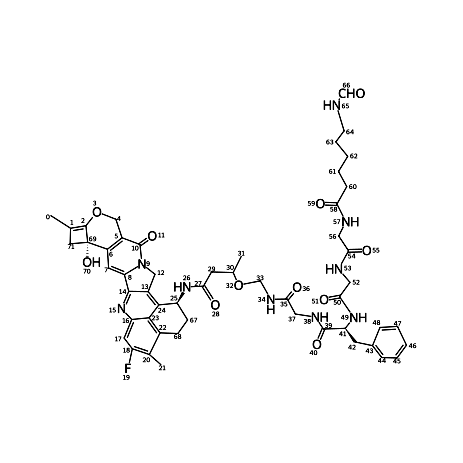 CC1=C2OCc3c(cc4n(c3=O)Cc3c-4nc4cc(F)c(C)c5c4c3[C@@H](NC(=O)CC(C)OCNC(=O)CNC(=O)[C@H](Cc3ccccc3)NC(=O)CNC(=O)CNC(=O)CCCCCNC=O)CC5)[C@@]2(O)C1